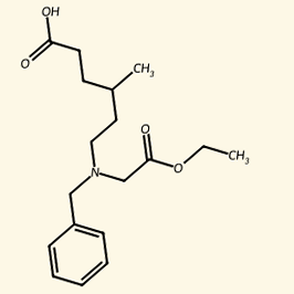 CCOC(=O)CN(CCC(C)CCC(=O)O)Cc1ccccc1